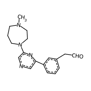 CN1CCCN(c2cncc(-c3cccc(CC=O)c3)n2)CC1